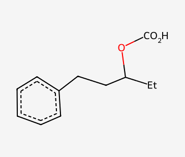 CCC(CCc1ccccc1)OC(=O)O